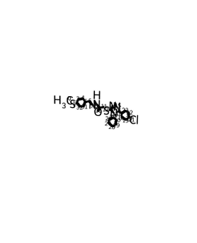 CSc1ccc(/C=N/NC(=O)CSc2nnc(-c3ccc(Cl)cc3)n2-c2ccccc2)cc1